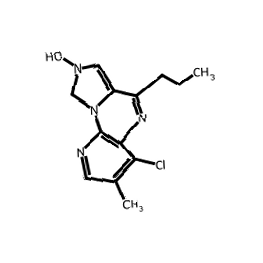 CCCC1=Nc2c(ncc(C)c2Cl)N2CN(O)C=C12